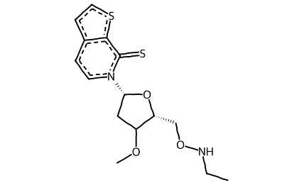 CCNOC[C@H]1O[C@@H](n2ccc3ccsc3c2=S)CC1OC